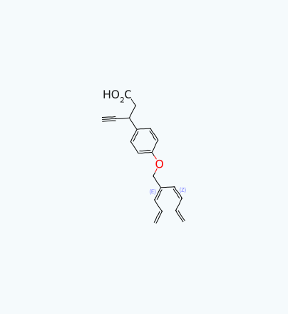 C#CC(CC(=O)O)c1ccc(OCC(/C=C\C=C)=C/C=C)cc1